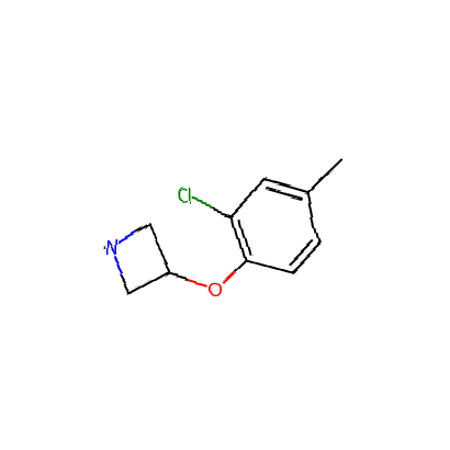 Cc1ccc(OC2C[N]C2)c(Cl)c1